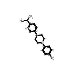 OC(c1ccc(N2CCN(c3ccc(Br)cc3)CC2)cn1)C(F)(F)F